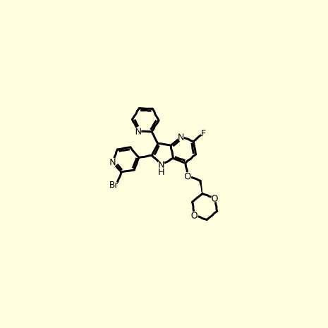 Fc1cc(OC[C@@H]2COCCO2)c2[nH]c(-c3ccnc(Br)c3)c(-c3ccccn3)c2n1